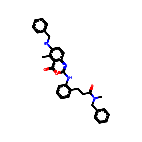 Cc1c(NCc2ccccc2)ccc2nc(Nc3ccccc3CCC(=O)N(C)Cc3ccccc3)oc(=O)c12